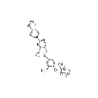 Cc1cc(SCc2cnc(-c3ccc(OC(F)(F)F)cc3)nc2C2CC2)ccc1OC(C)(C)C(=O)O